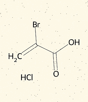 C=C(Br)C(=O)O.Cl